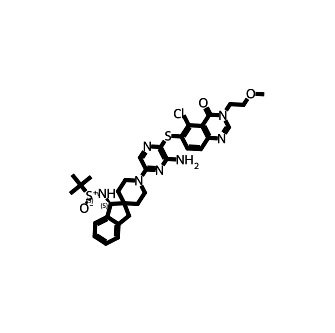 COCCn1cnc2ccc(Sc3ncc(N4CCC5(CC4)Cc4ccccc4[C@H]5N[S@+]([O-])C(C)(C)C)nc3N)c(Cl)c2c1=O